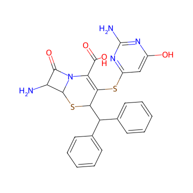 Nc1nc(O)cc(SC2=C(C(=O)O)N3C(=O)C(N)C3SC2C(c2ccccc2)c2ccccc2)n1